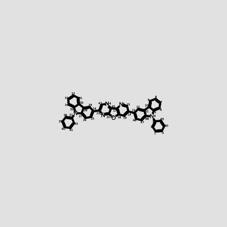 c1ccc(-n2c3ccccc3c3cc(-c4cnc5c(c4)oc4nc(-c6ccc7c(c6)c6ccccc6n7-c6ccccc6)cnc45)ccc32)cc1